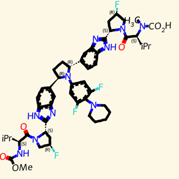 COC(=O)N[C@H](C(=O)N1C[C@H](F)C[C@H]1c1nc2cc([C@H]3CC[C@H](c4ccc5[nH]c([C@@H]6C[C@@H](F)CN6C(=O)[C@H](C(C)C)N(C)C(=O)O)nc5c4)N3c3cc(F)c(N4CCCCC4)c(F)c3)ccc2[nH]1)C(C)C